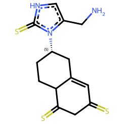 NCc1c[nH]c(=S)n1[C@H]1CCC2C(=S)CC(=S)C=C2C1